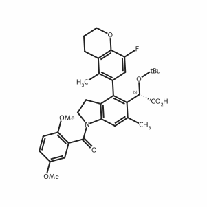 COc1ccc(OC)c(C(=O)N2CCc3c2cc(C)c([C@H](OC(C)(C)C)C(=O)O)c3-c2cc(F)c3c(c2C)CCCO3)c1